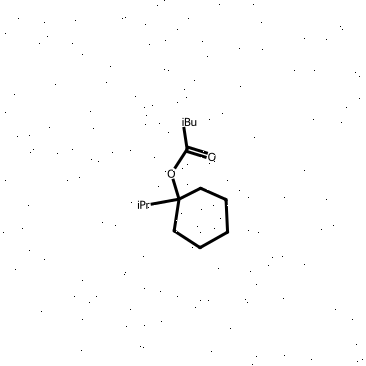 CCC(C)C(=O)OC1(C(C)C)CCCCC1